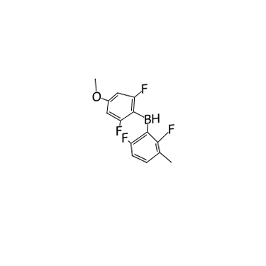 COc1cc(F)c(Bc2c(F)ccc(C)c2F)c(F)c1